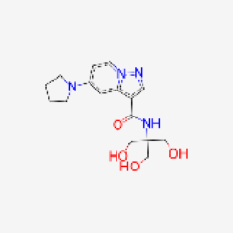 O=C(NC(CO)(CO)CO)c1cnn2ccc(N3CCCC3)cc12